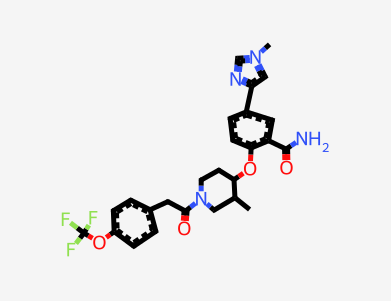 CC1CN(C(=O)Cc2ccc(OC(F)(F)F)cc2)CCC1Oc1ccc(-c2cn(C)cn2)cc1C(N)=O